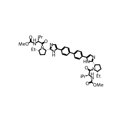 CC[C@H]1CC[C@@H](c2ncc(-c3ccc(-c4ccc(-c5cnc([C@@H]6CC[C@H](CC)N6C(=O)[C@@H](NC(=O)OC)C(C)C)[nH]5)cc4)cc3)[nH]2)N1C(=O)[C@@H](NC(=O)OC)C(C)C